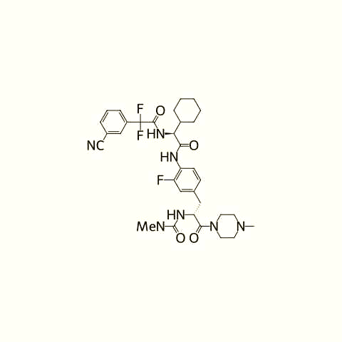 CNC(=O)N[C@H](Cc1ccc(NC(=O)[C@@H](NC(=O)C(F)(F)c2cccc(C#N)c2)C2CCCCC2)c(F)c1)C(=O)N1CCN(C)CC1